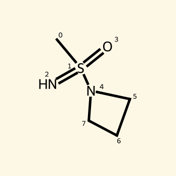 CS(=N)(=O)N1CCC1